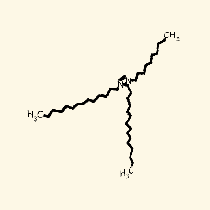 CCCCCCCCCCCCCCc1n(CCCCCCCCCC)cc[n+]1CCCCCCCCCCCCCC